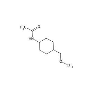 COCC1CCC(NC(C)=O)CC1